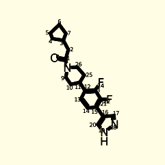 O=C(CC1CCCC1)N1CCC(c2ccc(-c3cn[nH]c3)c(F)c2F)CC1